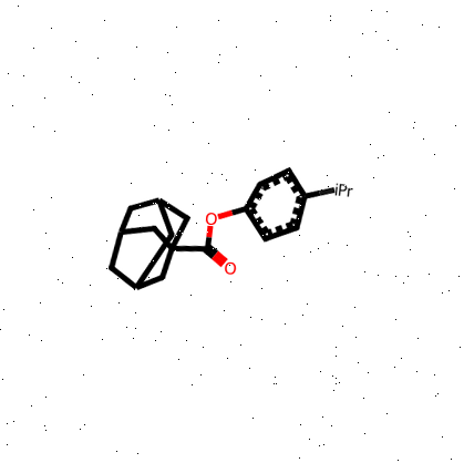 CC(C)c1ccc(OC(=O)C23CC4CC(CC(C4)C2)C3)cc1